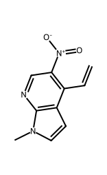 C=Cc1c([N+](=O)[O-])cnc2c1ccn2C